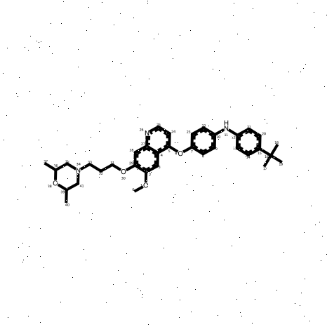 COc1cc2c(Oc3ccc(Nc4ccc(C(C)(C)C)cc4)cc3)ccnc2cc1OCCCN1CC(C)OC(C)C1